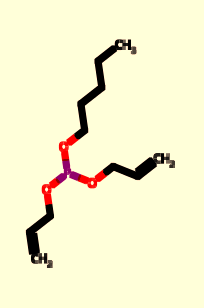 C=CCOP(OCC=C)OCCCCC